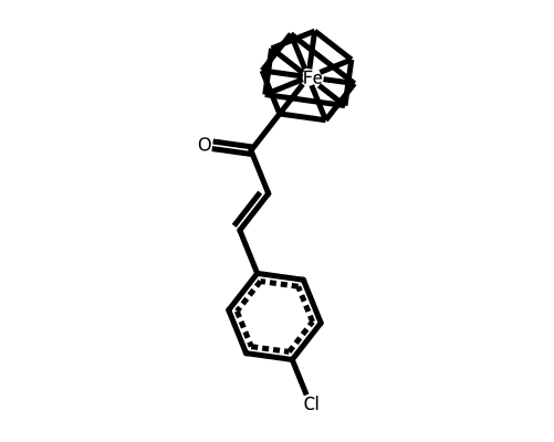 O=C(C=Cc1ccc(Cl)cc1)[C]12[CH]3[CH]4[CH]5[CH]1[Fe]45321678[CH]2[CH]1[CH]6[CH]7[CH]28